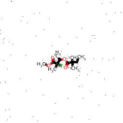 CCC(C)(C)C(=O)OC(C)C(C)(F)C(=O)OC